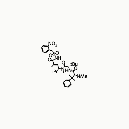 CN[C@H](C(=O)N[C@H](C(=O)N(C)[C@H](C=C(C)C(=O)NS(=O)(=O)Cc1ccccc1[N+](=O)[O-])C(C)C)C(C)(C)C)C(C)(C)c1ccccc1